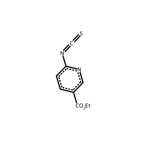 CCOC(=O)c1ccc(N=C=S)nc1